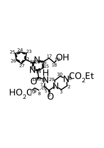 CCOC(=O)N1CCN(C(=O)[C@H](CCC(=O)O)NC(=O)c2cc(CCO)nc(-c3ccccc3)n2)CC1